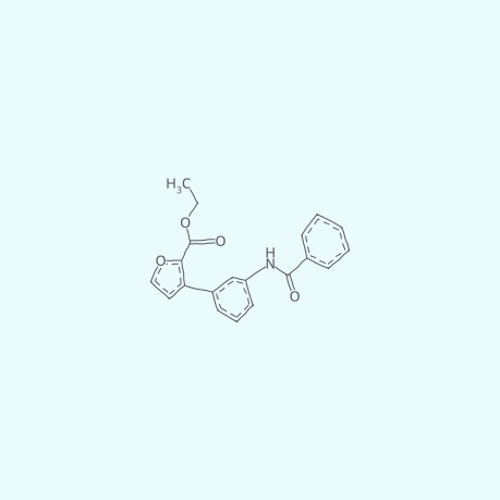 CCOC(=O)c1occc1-c1cccc(NC(=O)c2ccccc2)c1